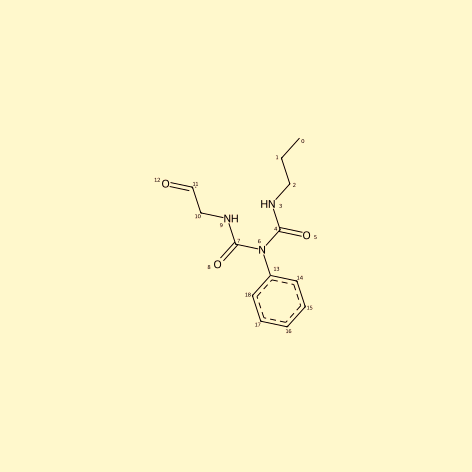 CCCNC(=O)N(C(=O)NC[C]=O)c1ccccc1